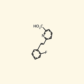 O=C(O)c1cccc(C=Cc2ccccc2F)n1